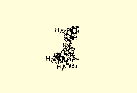 CN(C)C(=O)[C@@H](NC(=O)CNC(=O)C(=O)C(CC1CC1)NC(=O)[C@@H]1[C@@H]2[C@H](CN1C(=O)[C@@H](N)C(C)(C)C)C2(C)C)c1ccccc1